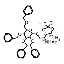 CC(=O)N[C@@H](COC1OC(COCc2ccccc2)C(OCc2ccccc2)C(OCc2ccccc2)C1OCc1ccccc1)[C@@H]1OC(C)(C)O[C@@H]1C